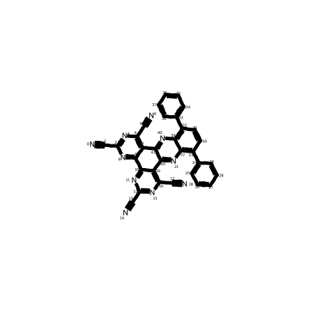 N#Cc1nc(C#N)c2c(n1)c1nc(C#N)nc(C#N)c1c1nc3c(-c4ccccc4)ccc(-c4ccccc4)c3nc12